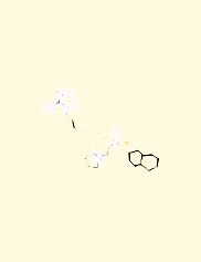 N=C(N)NC/C=C/CSC[C@@H]1CCCN1C(=O)[C@H](CO)NS(=O)(=O)c1ccc2ccccc2c1